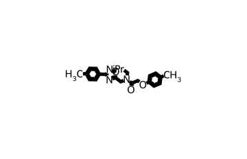 Cc1ccc(OCC(=O)N(Cc2nc(-c3ccc(C)cc3)no2)CC(C)C)cc1